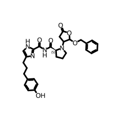 O=C1CC(N2CCC[C@H]2C(=O)NC(=O)c2nc(CCCc3ccc(O)cc3)c[nH]2)C(OCc2ccccc2)O1